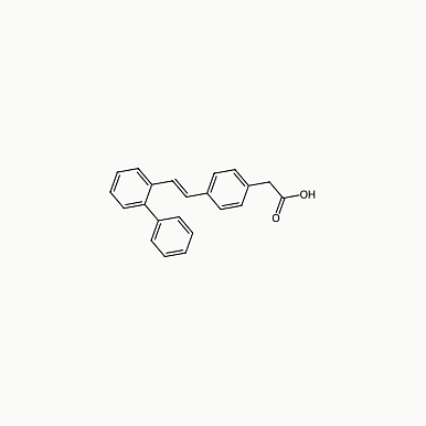 O=C(O)Cc1ccc(C=Cc2ccccc2-c2ccccc2)cc1